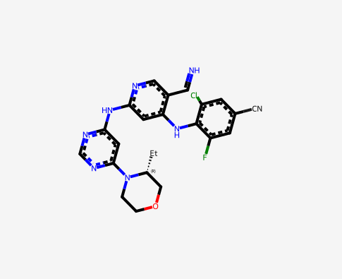 CC[C@@H]1COCCN1c1cc(Nc2cc(Nc3c(F)cc(C#N)cc3Cl)c(C=N)cn2)ncn1